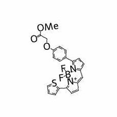 COC(=O)COc1ccc(-c2ccc3n2[B-](F)(F)[N+]2=C(c4cccs4)C=CC2=C3)cc1